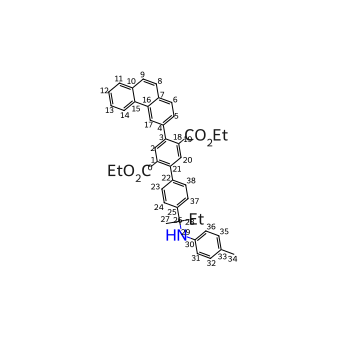 CCOC(=O)c1cc(-c2ccc3ccc4ccccc4c3c2)c(C(=O)OCC)cc1-c1ccc(C(C)(CC)Nc2ccc(C)cc2)cc1